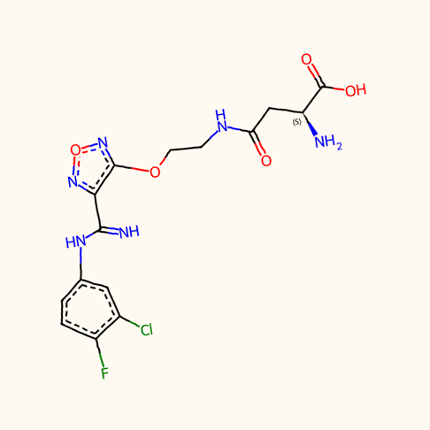 N=C(Nc1ccc(F)c(Cl)c1)c1nonc1OCCNC(=O)C[C@H](N)C(=O)O